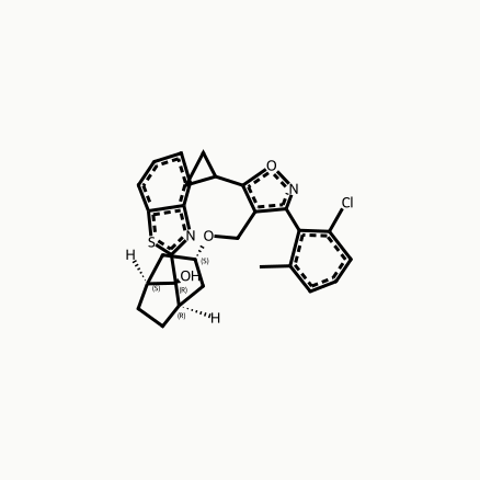 Cc1cccc(Cl)c1-c1noc(C2CC2)c1CO[C@@H]1C[C@H]2CC[C@@H](C1)[C@]2(O)c1nc2ccccc2s1